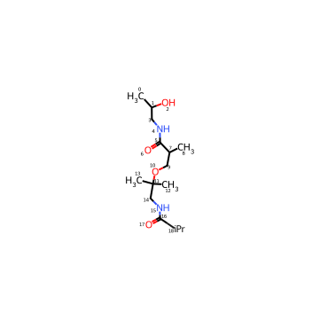 CC(O)CNC(=O)C(C)COC(C)(C)CNC(=O)C(C)C